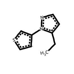 CCc1ccnn1-c1[c]csc1